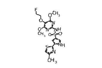 COc1nc(NS(=O)(=O)c2c[nH]c(-c3nc(C)cs3)c2)nc(OC)c1OCCF